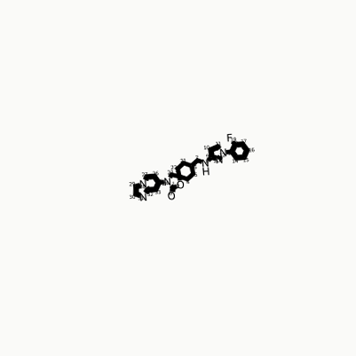 O=C1OC2(CCC(CNc3ccn(-c4ccccc4F)n3)CC2)CN1c1ccn2ccnc2c1